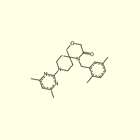 Cc1ccc(C)c(CN2C(=O)COCC23CCN(c2nc(C)cc(C)n2)CC3)c1